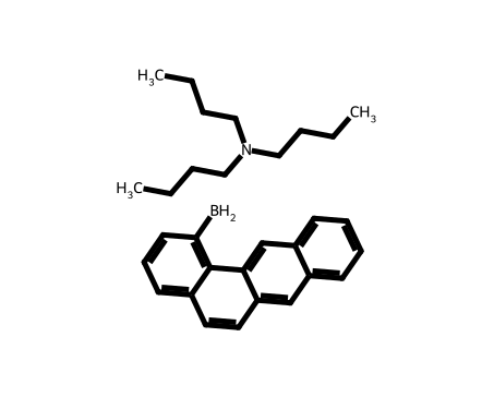 Bc1cccc2ccc3cc4ccccc4cc3c12.CCCCN(CCCC)CCCC